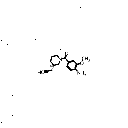 C#CC[C@@H]1CCCN(C(=O)c2ccc(N)c(OC)c2)C1